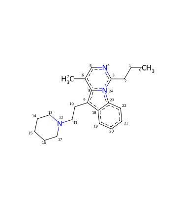 CCCc1ncc(C)c2c(CCN3CCCCC3)c3ccccc3n12